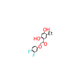 CCc1cc(C(=O)COc2ccc(F)c(F)c2)c(O)cc1O